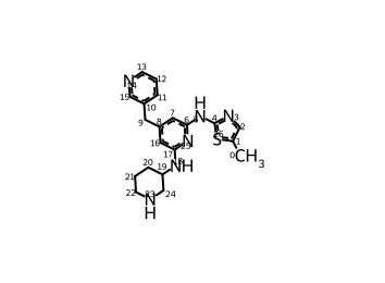 Cc1cnc(Nc2cc(Cc3cccnc3)cc(NC3CCCNC3)n2)s1